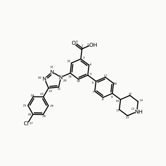 O=C(O)c1cc(-c2ccc(C3CCNCC3)cc2)cc(-n2cc(-c3ccc(Cl)cc3)nn2)c1